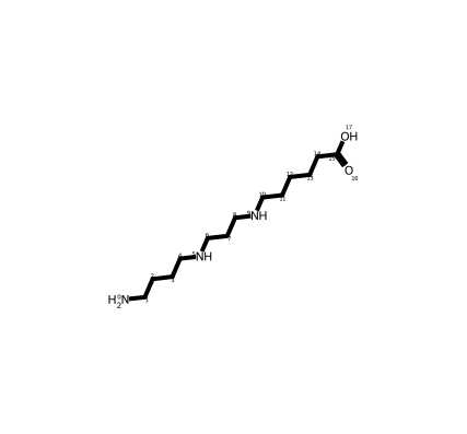 NCCCCNCCCNCCCCCC(=O)O